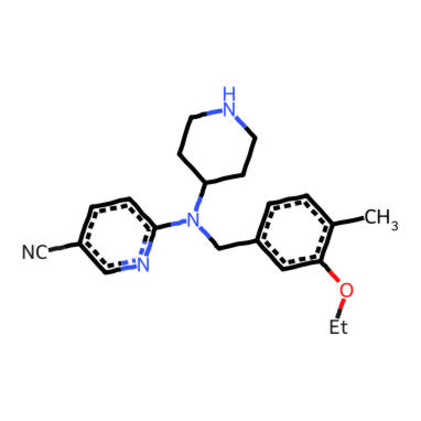 CCOc1cc(CN(c2ccc(C#N)cn2)C2CCNCC2)ccc1C